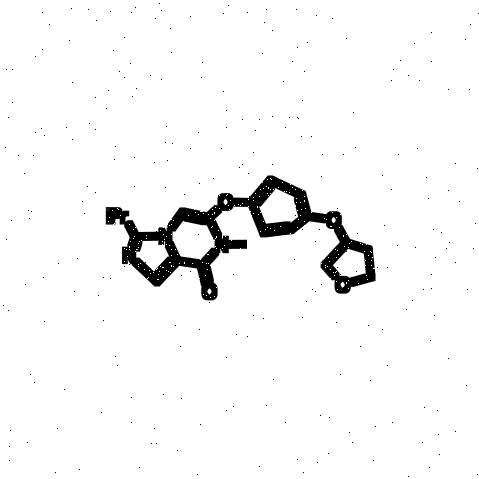 CC(C)c1ncc2c(=O)n(C)c(Oc3ccc(OC4CCOC4)cc3)cn12